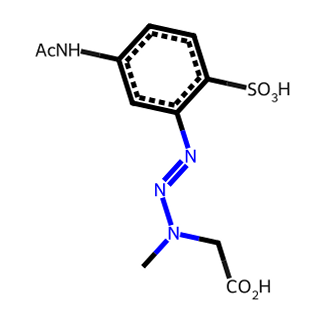 CC(=O)Nc1ccc(S(=O)(=O)O)c(/N=N/N(C)CC(=O)O)c1